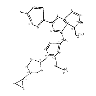 Cc1ccc(-c2cc3c(c(Nc4ccc(C5CCN(C6CC6)CC5)c(CN)c4)n2)C(C=O)NC=C3)cn1